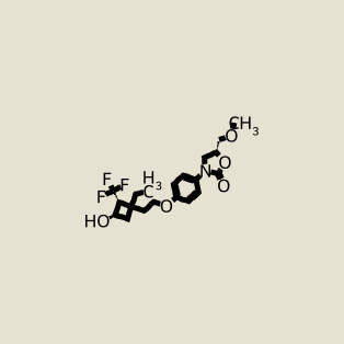 CCC1(CCOc2ccc(N3C[C@H](COC)OC3=O)cc2)C[C@@H](O)[C@@H]1C(F)(F)F